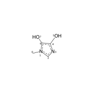 Cn1cnc(O)c1O